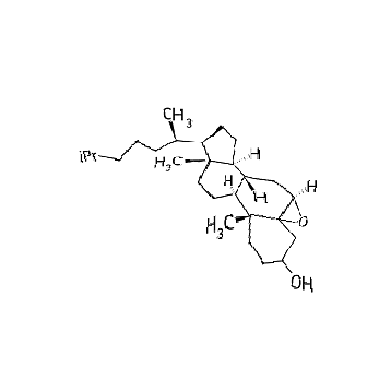 CC(C)CCC[C@@H](C)[C@H]1CC[C@H]2[C@@H]3C[C@H]4OC45CC(O)CC[C@]5(C)[C@H]3CC[C@]12C